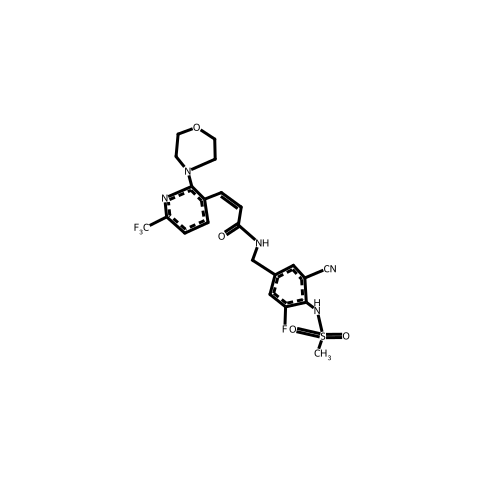 CS(=O)(=O)Nc1c(F)cc(CNC(=O)/C=C\c2ccc(C(F)(F)F)nc2N2CCOCC2)cc1C#N